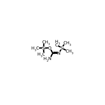 C[Si](C)(C)N=C(N)O[Si](C)(C)C